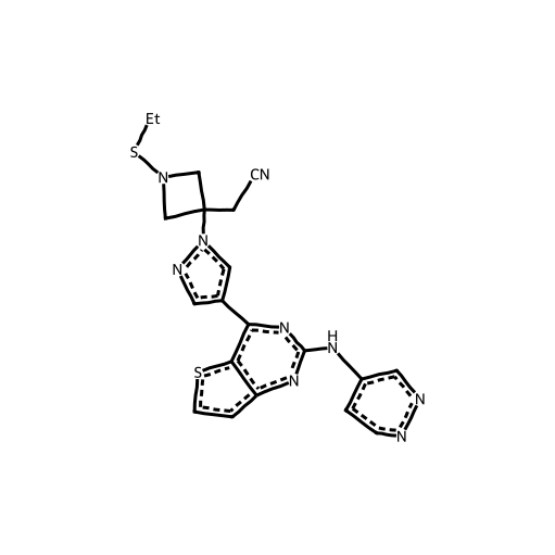 CCSN1CC(CC#N)(n2cc(-c3nc(Nc4ccnnc4)nc4ccsc34)cn2)C1